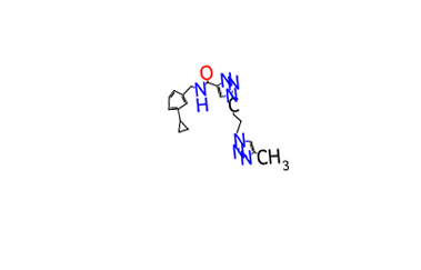 Cc1cn(CCCCn2cc(C(=O)NCc3cccc(C4CC4)c3)nn2)nn1